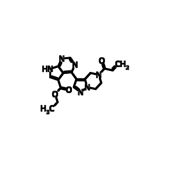 C=CC(=O)N1CCn2ncc(-c3ncnc4[nH]cc(C(=O)OCC)c34)c2C1